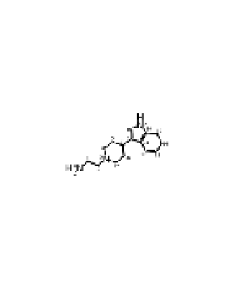 NCCN1CCC(c2c[nH]c3c2C=CCC3)CC1